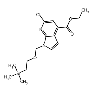 CCOC(=O)c1cc(Cl)nc2c1ccn2COCC[Si](C)(C)C